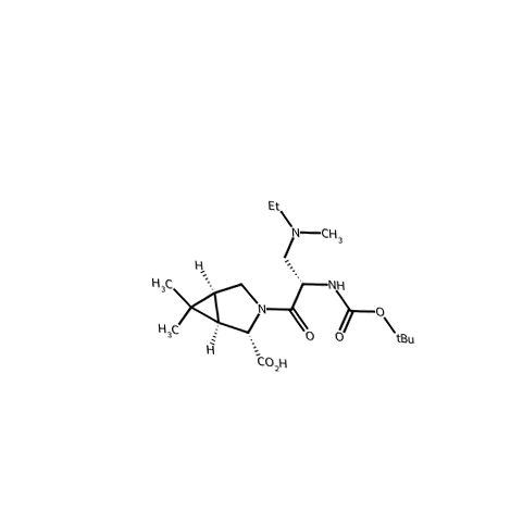 CCN(C)C[C@H](NC(=O)OC(C)(C)C)C(=O)N1C[C@H]2[C@@H]([C@H]1C(=O)O)C2(C)C